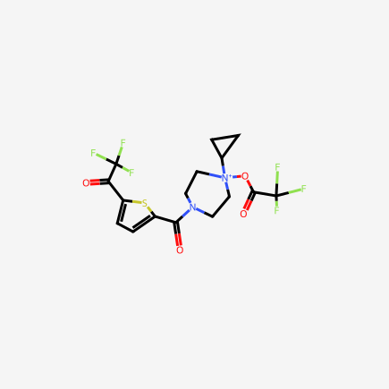 O=C(c1ccc(C(=O)C(F)(F)F)s1)N1CC[N+](OC(=O)C(F)(F)F)(C2CC2)CC1